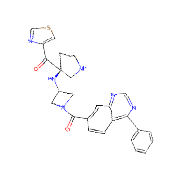 O=C(c1ccc2c(-c3ccccc3)ncnc2c1)N1CC(N[C@@]2(C(=O)c3cscn3)CCNC2)C1